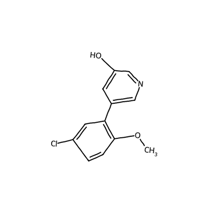 COc1ccc(Cl)cc1-c1cncc(O)c1